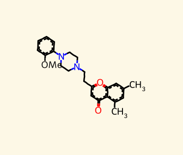 COc1ccccc1N1CCN(CCc2cc(=O)c3c(C)cc(C)cc3o2)CC1